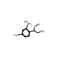 CCOC(CO)c1ccc(N)cc1N.Cl